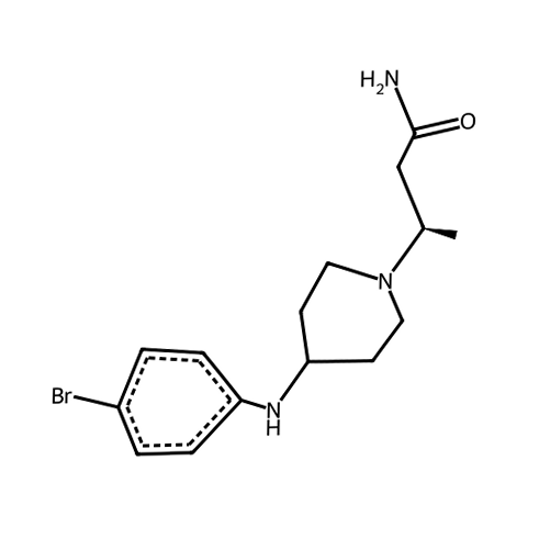 C[C@H](CC(N)=O)N1CCC(Nc2ccc(Br)cc2)CC1